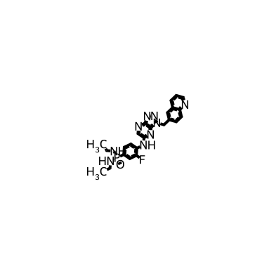 CCNP(=O)(NCC)c1ccc(Nc2cnc3nnn(Cc4ccc5ncccc5c4)c3n2)c(F)c1